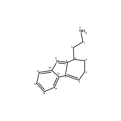 NCCC1CCC=C2C1=Nc1ccccc12